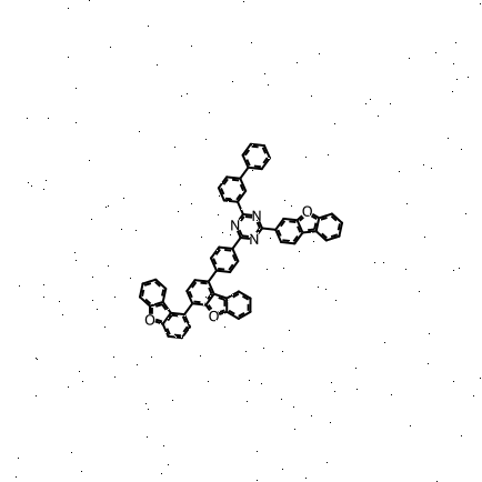 c1ccc(-c2cccc(-c3nc(-c4ccc(-c5ccc(-c6cccc7oc8ccccc8c67)c6oc7ccccc7c56)cc4)nc(-c4ccc5c(c4)oc4ccccc45)n3)c2)cc1